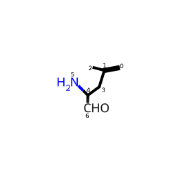 C=C(C)CC(N)C=O